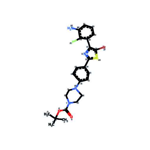 CC(C)(C)OC(=O)N1CCN(c2ccc(-c3nc(-c4cccc(N)c4F)c(Br)s3)cc2)CC1